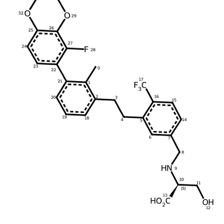 Cc1c(CCc2cc(CN[C@@H](CO)C(=O)O)ccc2C(F)(F)F)cccc1-c1ccc2c(c1F)OCCO2